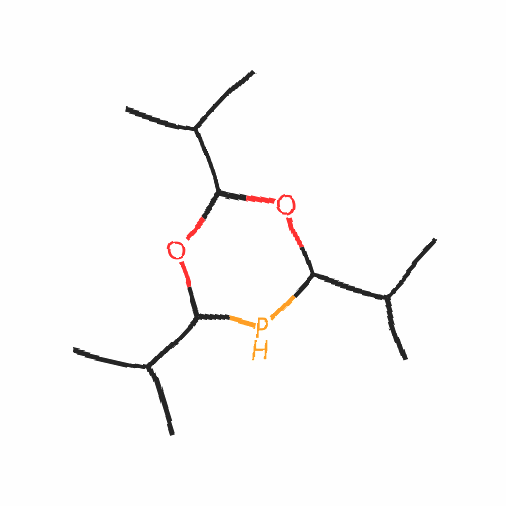 CC(C)C1OC(C(C)C)PC(C(C)C)O1